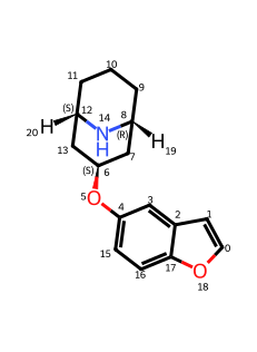 c1cc2cc(O[C@@H]3C[C@H]4CCC[C@@H](C3)N4)ccc2o1